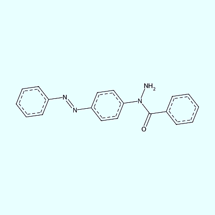 NN(C(=O)c1ccccc1)c1ccc(/N=N/c2ccccc2)cc1